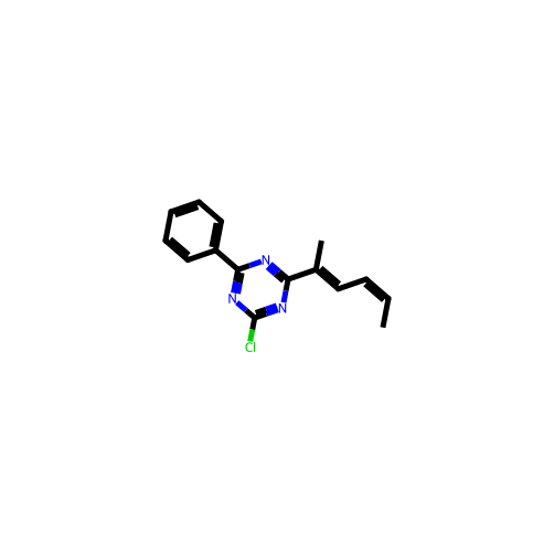 C/C=C\C=C(/C)c1nc(Cl)nc(-c2ccccc2)n1